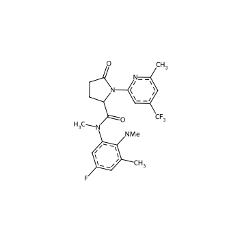 CNc1c(C)cc(F)cc1N(C)C(=O)C1CCC(=O)N1c1cc(C(F)(F)F)cc(C)n1